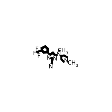 CN1CCC(N(C)c2cc(-c3cccc(C(F)(F)F)c3)nc(C#N)n2)CC1